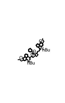 CCCCN1C=C(/C=C/C2=C(S(=O)(=O)c3ccccc3)C(=C/C=c3\c4cccc5c6c(cc(c54)n3CCCC)CC(C)O6)/CC2)c2cccc3c4c(cc1c23)CC(C)O4